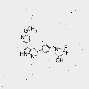 COc1ccc(-c2c[nH]c3ncc(-c4ccc(CN5CC(O)CC(F)(F)C5)cc4)cc23)cn1